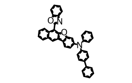 c1ccc(-c2ccc(N(c3ccccc3)c3ccc4c(c3)oc3c(-c5nc6ccccc6o5)c5ccccc5cc34)cc2)cc1